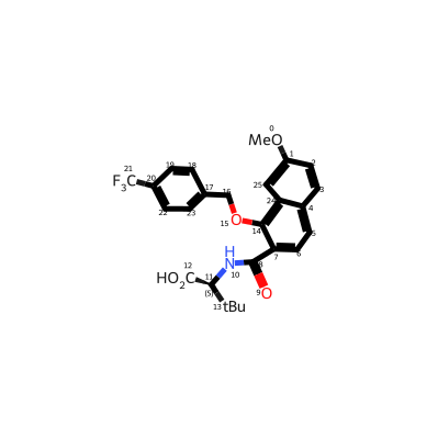 COc1ccc2ccc(C(=O)N[C@H](C(=O)O)C(C)(C)C)c(OCc3ccc(C(F)(F)F)cc3)c2c1